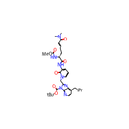 COC(=O)N[C@@H](CC/C=C/C(=O)N(C)C)C(=O)Nc1cccn(Cc2nc3c(CC(C)C)ccnc3n2C(=O)OC(C)(C)C)c1=O